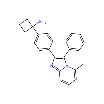 Cc1cccc2nc(-c3ccc(C4(N)CCC4)cc3)c(-c3ccccc3)n12